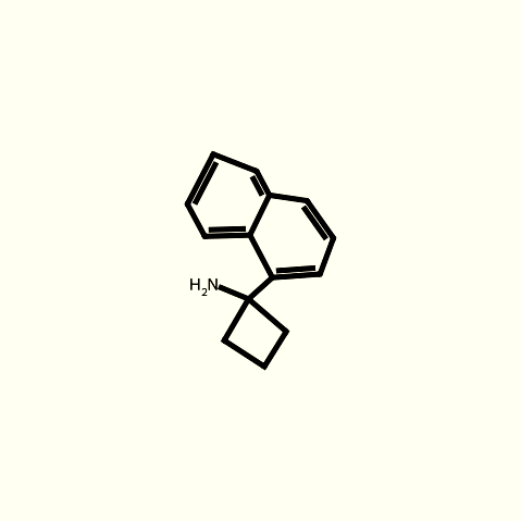 NC1(c2cccc3ccccc23)CCC1